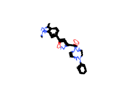 Cc1nn(C)c2cc(-c3cc(C(=O)N4CCN(c5ccccc5)CC4)no3)ccc12